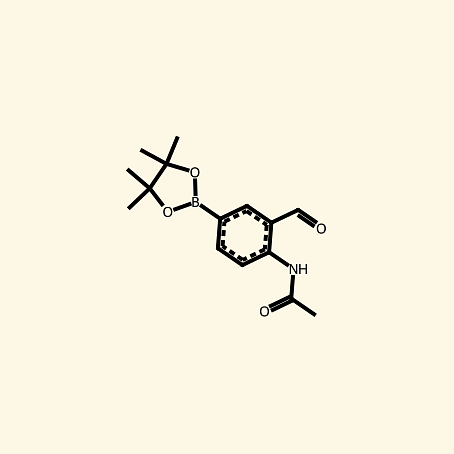 CC(=O)Nc1ccc(B2OC(C)(C)C(C)(C)O2)cc1C=O